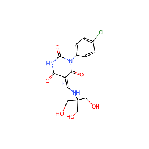 O=C1NC(=O)N(c2ccc(Cl)cc2)C(=O)/C1=C\NC(CO)(CO)CO